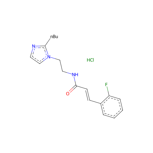 CCCCc1nccn1CCNC(=O)C=Cc1ccccc1F.Cl